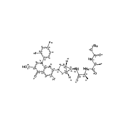 C[C@H](NC(=O)OC(C)(C)C)C(=O)N[C@@H](C)C(=O)N[C@H]1[C@@H]2CN(c3nc4c(cc3F)c(=O)c(C(=O)O)cn4-c3ccc(F)cc3F)C[C@@H]21